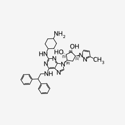 Cc1ccn([C@H]2C[C@@H](n3cnc4c(NCC(c5ccccc5)c5ccccc5)nc(NC5CCC(N)CC5)nc43)[C@H](O)[C@@H]2O)n1